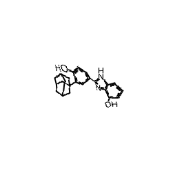 Oc1ccc(-c2nc3c(O)cccc3[nH]2)cc1C12CC3CC(CC(C3)C1)C2